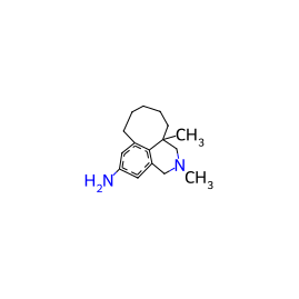 CN1Cc2cc(N)cc3c2C(C)(CCCCC3)C1